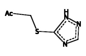 CC(=O)CSc1ncn[nH]1